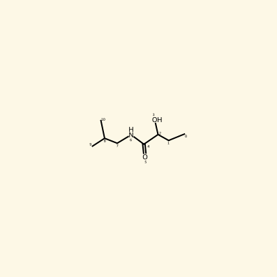 CCC(O)C(=O)NCC(C)C